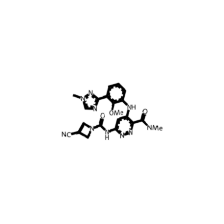 CNC(=O)c1nnc(NC(=O)N2CC(C#N)C2)cc1Nc1cccc(-c2ncn(C)n2)c1OC